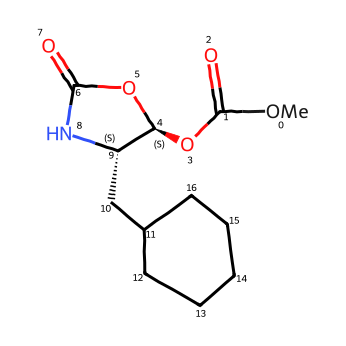 COC(=O)O[C@@H]1OC(=O)N[C@H]1CC1CCCCC1